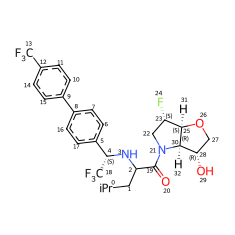 CC(C)CC(N[C@@H](c1ccc(-c2ccc(C(F)(F)F)cc2)cc1)C(F)(F)F)C(=O)N1C[C@H](F)[C@H]2OC[C@H](O)[C@H]21